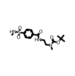 CNS(=O)(=O)c1ccc(C(=O)NCCN(C)C(=O)OC(C)(C)C)cc1